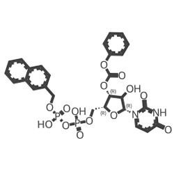 O=C(Oc1ccccc1)O[C@@H]1C(O)[C@H](n2ccc(=O)[nH]c2=O)O[C@@H]1COP(=O)(O)OP(=O)(O)OCc1ccc2ccccc2c1